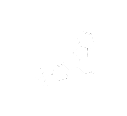 CC(C)(C)/C=C(/c1ccc(S(C)(=O)=O)cc1)c1cc2cccnc2[nH]1